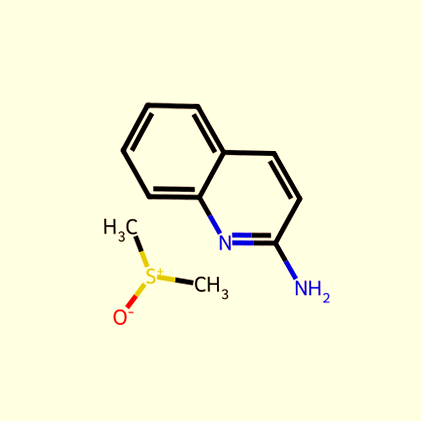 C[S+](C)[O-].Nc1ccc2ccccc2n1